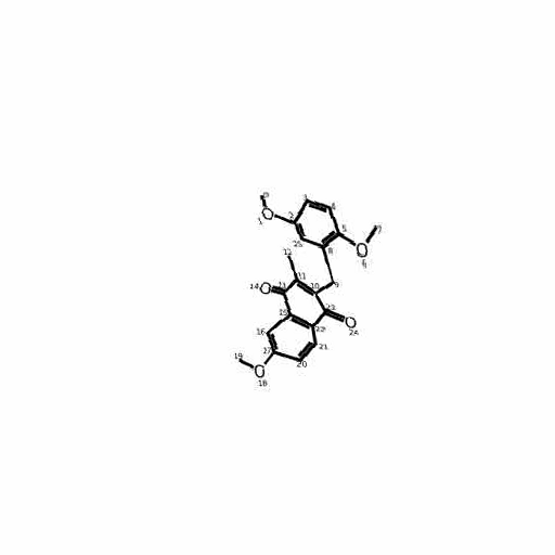 COc1ccc(OC)c(CC2=C(C)C(=O)c3cc(OC)ccc3C2=O)c1